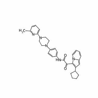 Cc1cccc(N2CCN(c3ccc(NC(=O)C(=O)c4c(C5CCCC5)cc5ccccn45)cc3)CC2)n1